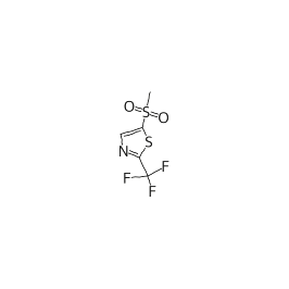 CS(=O)(=O)c1cnc(C(F)(F)F)s1